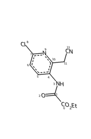 CCOC(=O)C(=O)Nc1ccc(Cl)nc1CC#N